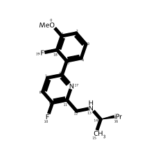 COc1cccc(-c2ccc(F)c(CN[C@H](C)C(C)C)n2)c1F